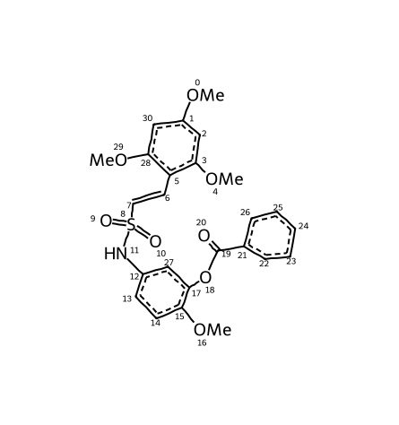 COc1cc(OC)c(C=CS(=O)(=O)Nc2ccc(OC)c(OC(=O)c3ccccc3)c2)c(OC)c1